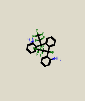 Nc1ccccc1C(F)(c1ccccc1C(F)(c1ccccc1N)C(F)(F)C(F)(F)F)C(F)(F)C(F)(F)F